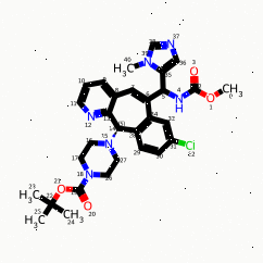 COC(=O)NC(C1=Cc2cccnc2[C@@H](N2CCN(C(=O)OC(C)(C)C)CC2)c2ccc(Cl)cc21)c1cncn1C